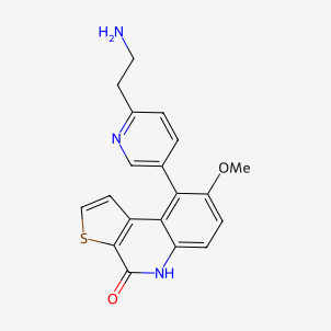 COc1ccc2[nH]c(=O)c3sccc3c2c1-c1ccc(CCN)nc1